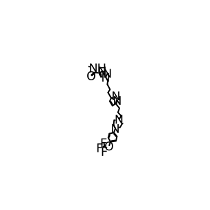 CNC(=O)c1cn(CCCCc2ccc(CCCN3CCN(c4ccc(OC(F)(F)F)cc4)CC3)nn2)nn1